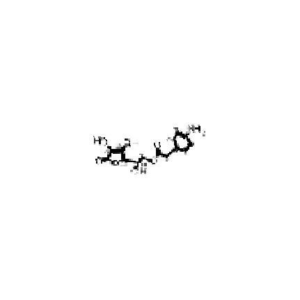 Nc1ccc(CC(=O)OC[C@@H](O)[C@H]2OC(=O)C(O)=C2O)cc1